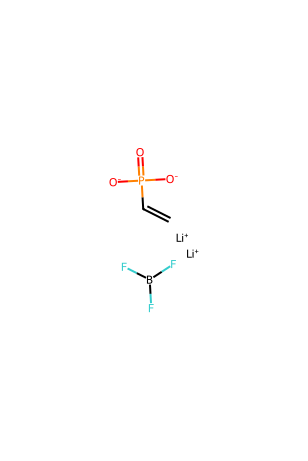 C=CP(=O)([O-])[O-].FB(F)F.[Li+].[Li+]